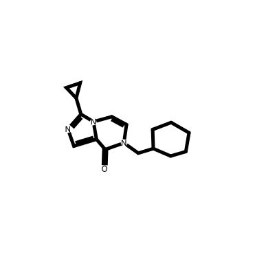 O=c1c2cnc(C3CC3)n2ccn1CC1CCCCC1